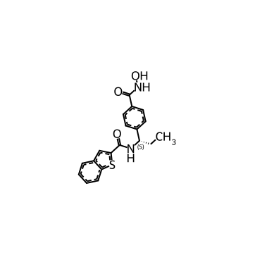 CC[C@H](NC(=O)c1cc2ccccc2s1)c1ccc(C(=O)NO)cc1